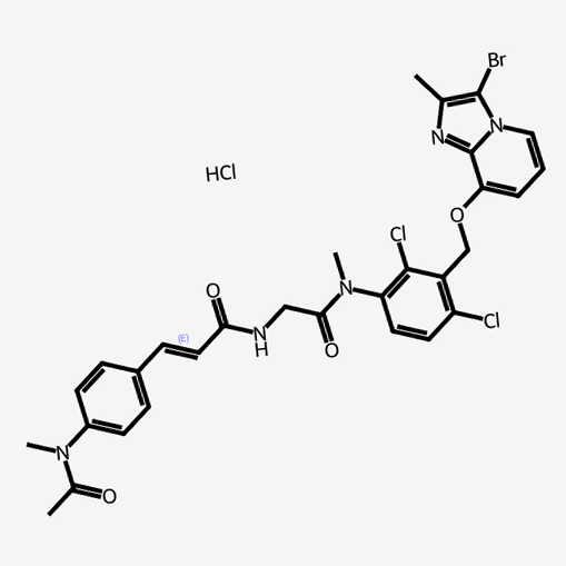 CC(=O)N(C)c1ccc(/C=C/C(=O)NCC(=O)N(C)c2ccc(Cl)c(COc3cccn4c(Br)c(C)nc34)c2Cl)cc1.Cl